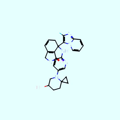 O=C1NCC2=C1C(Nc1ccc(N3CC(O)CCC34CC4)cn1)(c1c(F)nc3ccccn13)CC=C2